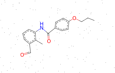 CCCOc1ccc(C(=O)Nc2cccc(C=O)c2C)cc1